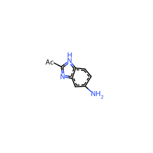 CC(=O)c1nc2cc(N)ccc2[nH]1